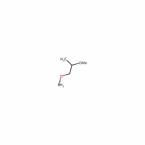 BOCC(C)OC